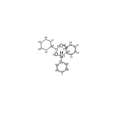 CC(O[SiH](c1ccccc1)c1ccccc1)C1CCCCC1